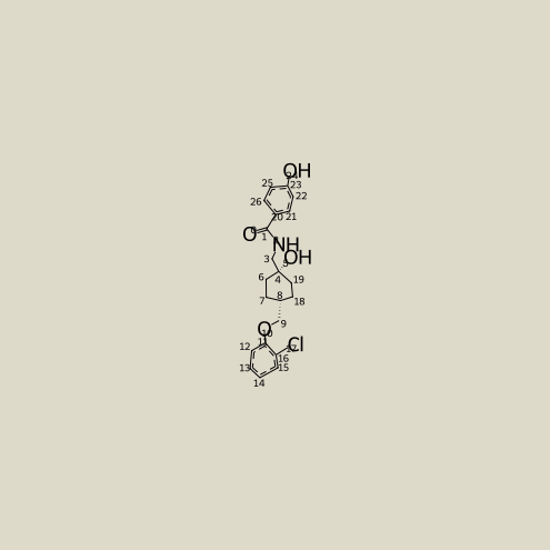 O=C(NC[C@]1(O)CC[C@@H](COc2ccccc2Cl)CC1)c1ccc(O)cc1